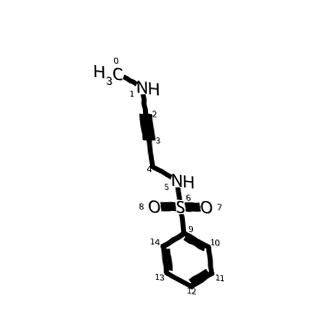 CNC#CCNS(=O)(=O)c1ccccc1